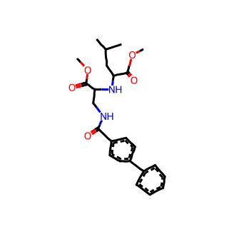 COC(=O)C(CNC(=O)c1ccc(-c2ccccc2)cc1)NC(CC(C)C)C(=O)OC